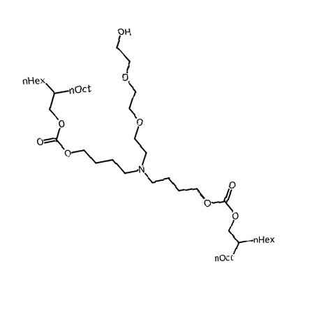 CCCCCCCCC(CCCCCC)COC(=O)OCCCCN(CCCCOC(=O)OCC(CCCCCC)CCCCCCCC)CCOCCOCCO